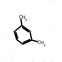 Cc1[c]c(C)ccc1